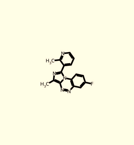 Cc1ncccc1-c1nc(C)c2nnc3cc(F)ccc3n12